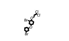 ClC(Cl)=CCOc1ccc(Oc2cccc(Br)c2)cc1Br